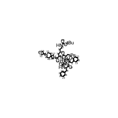 CC(C)CC(NC(=O)C(Cc1ccccc1)NC(=O)C(Cc1ccccc1)NC(=O)OC(C)(C)C)C(=O)NC(CCCCNC(=O)OC(C)(C)C)C(=O)N1CC2(CCN(C3COC3)CC2)C1